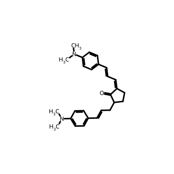 CN(C)c1ccc(C=CC=C2CCC(CC=Cc3ccc(N(C)C)cc3)C2=O)cc1